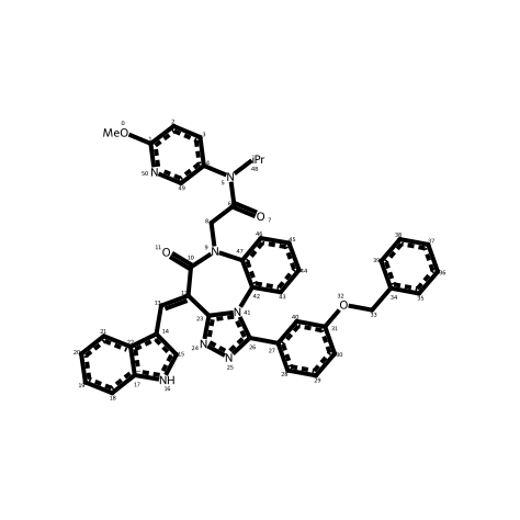 COc1ccc(N(C(=O)CN2C(=O)/C(=C/c3c[nH]c4ccccc34)c3nnc(-c4cccc(OCc5ccccc5)c4)n3-c3ccccc32)C(C)C)cn1